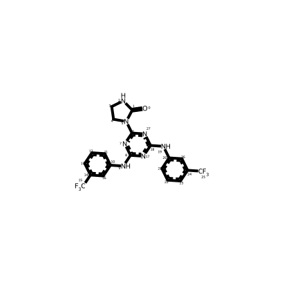 O=C1NCCN1c1nc(Nc2cccc(C(F)(F)F)c2)nc(Nc2cccc(C(F)(F)F)c2)n1